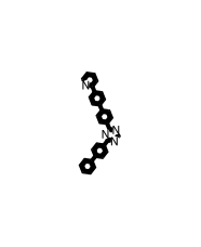 c1ccc(-c2ccc(-c3ncnc(-c4ccc(-c5ccc(-c6ccccn6)cc5)cc4)n3)cc2)cc1